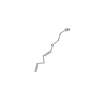 C=CCC=COCCO